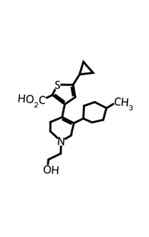 CC1CCC(C2=C(c3cc(C4CC4)sc3C(=O)O)CCN(CCO)C2)CC1